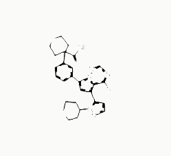 NC(=O)C1(c2cccc(-c3cc(-c4ccnn4C4CCOCC4)c4c(N)ncnn34)c2)CCOCC1